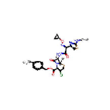 O=CNc1nc(C(=NOC2CC2)C(=O)N[C@@H]2C(=O)N3C(C(=O)OCc4ccc([N+](=O)[O-])cc4)=C(Cl)CS[C@@H]23)cs1